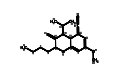 CCCCC1OC2=CC(OC)=CC(=C=O)C2N(C(C)C)C1=O